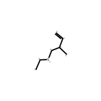 C=CC(C)CS[CH]C